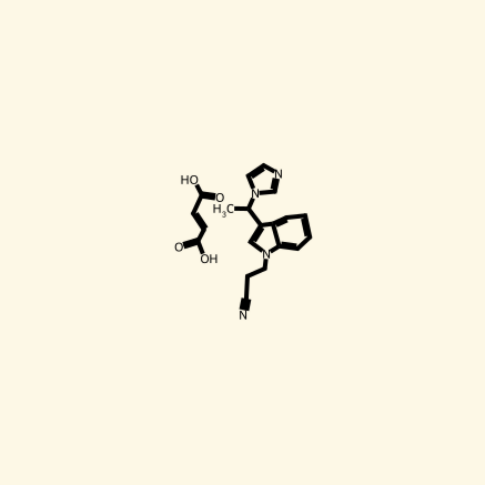 CC(c1cn(CCC#N)c2ccccc12)n1ccnc1.O=C(O)C=CC(=O)O